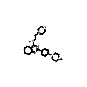 CN1CCN(c2ccc(-c3nc4c(c(NCCN5CCOCC5)n3)CCCC4)cc2)CC1